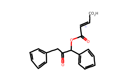 O=C(O)/C=C/C(=O)OC(C(=O)Cc1ccccc1)c1ccccc1